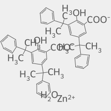 CC(C)(c1ccccc1)c1cc(C(=O)[O-])c(O)c(C(C)(C)c2ccccc2)c1.CC(C)(c1ccccc1)c1cc(C(=O)[O-])c(O)c(C(C)(C)c2ccccc2)c1.O.[Zn+2]